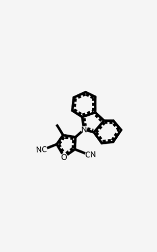 Cc1c(C#N)oc(C#N)c1-n1c2ccccc2c2ccccc21